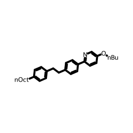 CCCCCCCCc1ccc(CCc2ccc(-c3ccc(OCCCC)cn3)cc2)cc1